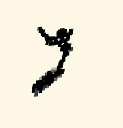 CCCCCC[n+]1ccc(C(C)CC(CC(CC)c2ccccc2)c2cc[n+](CCCCCCC(F)C(F)(F)C(F)(F)C(F)(F)C(F)(F)C(F)(F)C(F)(F)C(F)F)cc2)cc1